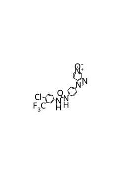 O=C(Nc1ccc(-n2cnc3c[n+]([O-])ccc32)cc1)Nc1ccc(Cl)c(C(F)(F)F)c1